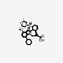 COc1ccc(C2CCCCC2)c2c1cc1n2CC2=C(C(=O)O)C2=C2C=CC[C@@H](S(=O)(=O)N3C[C@@H](C)O[C@@H](C)C3)C21